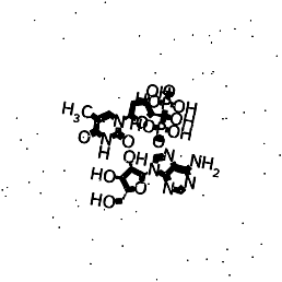 Cc1cn([C@H]2C[C@H](O)[C@@H](C(O)(P(=O)(O)O)P(=O)(O)O)O2)c(=O)[nH]c1=O.Nc1ncnc2c1ncn2[C@@H]1O[C@H](CO)[C@@H](O)[C@H]1O